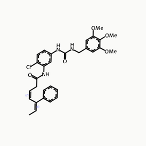 C/C=C(\C=C/CC(=O)Nc1cc(NC(=O)NCc2cc(OC)c(OC)c(OC)c2)ccc1Cl)c1ccccc1